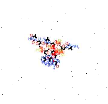 Cc1cn([C@H]2C[C@H](O[P@](=O)(S)OC[C@H]3O[C@@H](n4cc(C)c(N)nc4=O)C[C@@H]3O[P@](=O)(S)OC[C@H]3O[C@@H](n4cnc5c(N)ncnc54)C[C@@H]3O[P@](=O)(S)OC[C@H]3O[C@@H](n4cnc5c(N)ncnc54)C[C@@H]3O[P@](=O)(S)OC[C@H]3O[C@@H](n4cc(C)c(=O)[nH]c4=O)C[C@@H]3O)[C@@H](CO[P@@](=O)(S)O[C@H]3C[C@H](n4cnc5c(=O)[nH]c(N)nc54)O[C@@H]3C)O2)c(=O)nc1N